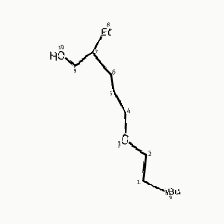 CCC(C)CCOCCCC(CC)CO